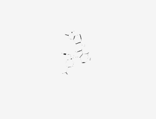 CC1(C)C(=O)Nc2cc(Nc3nn(C4(CC#N)CCC(C(=O)O)OC4)c4cc[nH]c(=O)c34)ccc21